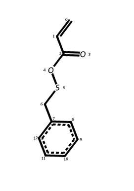 C=CC(=O)OSCc1ccccc1